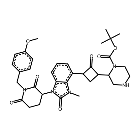 COc1ccc(CN2C(=O)CCC(n3c(=O)n(C)c4c(C5CC(C6CNCCN6C(=O)OC(C)(C)C)C5=O)cccc43)C2=O)cc1